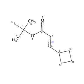 CC(C)(I)OC(=O)/C=C/C1CCC1